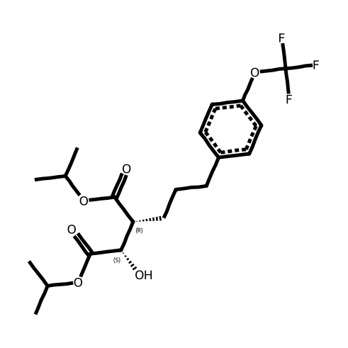 CC(C)OC(=O)[C@@H](O)[C@@H](CCCc1ccc(OC(F)(F)F)cc1)C(=O)OC(C)C